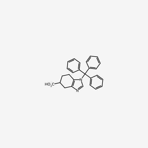 O=C(O)C1CCc2c(ncn2C(c2ccccc2)(c2ccccc2)c2ccccc2)C1